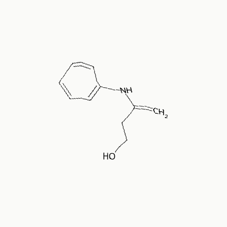 C=C(CCO)Nc1ccccc1